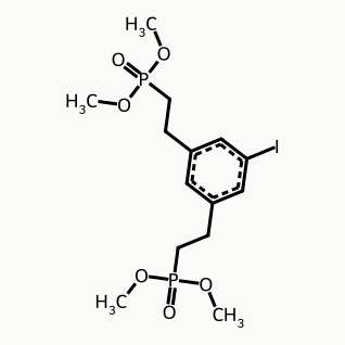 COP(=O)(CCc1cc(I)cc(CCP(=O)(OC)OC)c1)OC